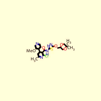 COc1cnccc1-c1cc(C)nc(Cl)c1C(=O)Nc1nnc(OCC2COC(C)(C)CO2)s1